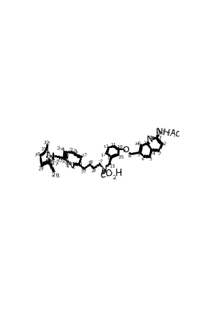 CC(=O)Nc1ccc2ccc(COc3cccc(CN(CCCCc4cccc(-n5c(C)ccc5C)n4)C(=O)O)c3)cc2n1